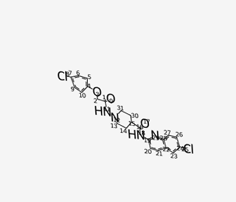 O=C(COc1ccc(Cl)cc1)NN1CCC(C(=O)Nc2ccc3cc(Cl)ccc3n2)CC1